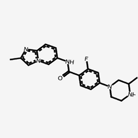 Cc1cn2cc(NC(=O)c3ccc(N4CCNC(C)C4)cc3F)ccc2n1